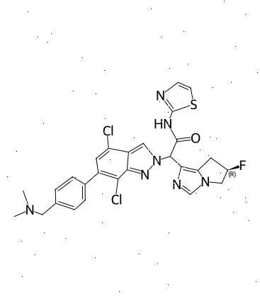 CN(C)Cc1ccc(-c2cc(Cl)c3cn(C(C(=O)Nc4nccs4)c4ncn5c4C[C@@H](F)C5)nc3c2Cl)cc1